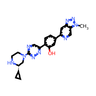 Cn1nnc2cc(-c3ccc(-c4cnc(N5CCN[C@@H](C6CC6)C5)nn4)c(O)c3)ncc21